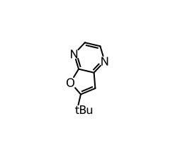 CC(C)(C)c1cc2nccnc2o1